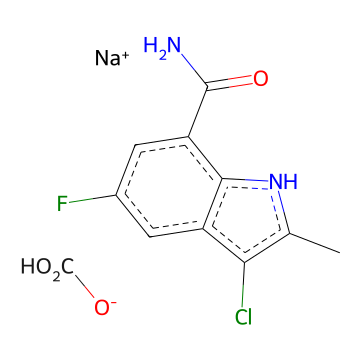 Cc1[nH]c2c(C(N)=O)cc(F)cc2c1Cl.O=C([O-])O.[Na+]